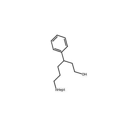 CCCCCCCCCCC(CCO)c1ccccc1